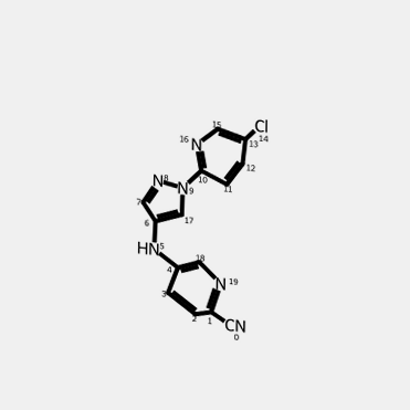 N#Cc1ccc(Nc2cnn(-c3ccc(Cl)cn3)c2)cn1